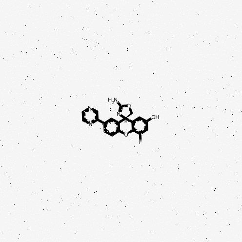 NC1=N[C@@]2(CO1)c1cc(-c3cnccn3)ccc1Oc1c(F)cc(O)cc12